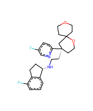 Fc1ccc([C@]2(CCN[C@H]3CCc4c(F)cccc43)CCOC3(CCOCC3)C2)nc1